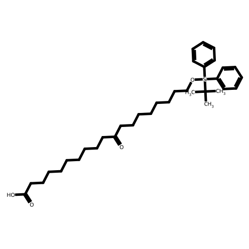 CC(C)(C)[Si](OCCCCCCCCC(=O)CCCCCCCCCC(=O)O)(c1ccccc1)c1ccccc1